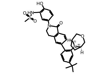 CC(C)(C)c1ccc(-c2ccc3c(c2)CCN(c2ccc(O)c(NS(C)(=O)=O)c2)C3=O)c(N2[C@@H]3CC[C@H]2COC3)c1